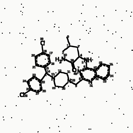 CC(C)CC(Nc1nc(CN2CCN(C(c3ccc(Cl)cc3)c3ccc(Cl)cc3)CC2)nc2ccccc12)C(N)=O